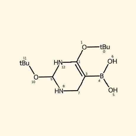 CC(C)(C)OC1=C(B(O)O)CNC(OC(C)(C)C)N1